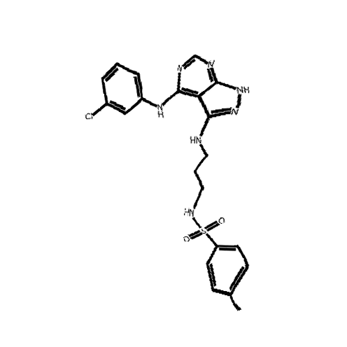 Cc1ccc(S(=O)(=O)NCCCNc2n[nH]c3ncnc(Nc4cccc(Cl)c4)c23)cc1